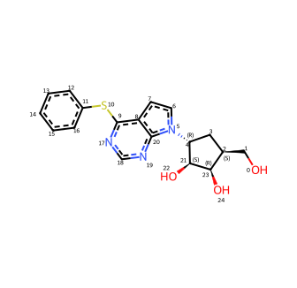 OC[C@@H]1C[C@@H](n2ccc3c(Sc4ccccc4)ncnc32)[C@H](O)[C@@H]1O